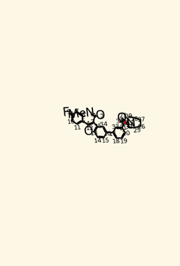 CNC(=O)c1c(-c2ccc(F)cc2)oc2ccc(-c3cccc(C(=O)N4C5CCC4CN(C)C5)c3)cc12